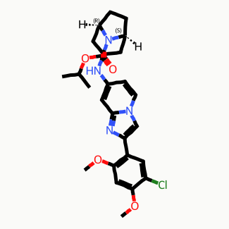 COc1cc(OC)c(-c2cn3ccc(NC4C[C@H]5CC[C@@H](C4)N5C(=O)OC(C)C)cc3n2)cc1Cl